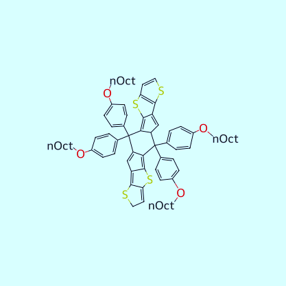 CCCCCCCCOc1ccc(C2(c3ccc(OCCCCCCCC)cc3)C3=Cc4c5c(sc4=C3C(c3ccc(OCCCCCCCC)cc3)(c3ccc(OCCCCCCCC)cc3)C3C=c4c(sc6ccsc46)=C32)=CCS5)cc1